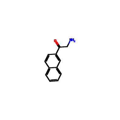 NCC(=O)c1ccc2ccccc2c1